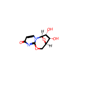 O=c1ccn2c(n1)OC[C@H]1O[C@@H]2[C@H](O)[C@@H]1O